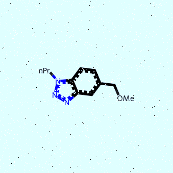 CCCn1nnc2cc(COC)ccc21